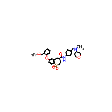 CCCOCc1ccccc1Oc1ccc2c(c1)C=C(C(=O)Nc1ccc(CN(C)C3CCOCC3)cc1)CCS2(=O)=O